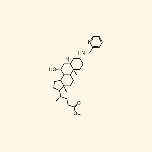 COC(=O)CC[C@@H](C)[C@H]1CCC2C3C(CC[C@@]21C)[C@@]1(C)CC[C@@H](NCc2ccccn2)C[C@@H]1C[C@H]3O